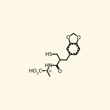 C[C@H](NC(=O)C(CS)Cc1ccc2c(c1)OCO2)C(=O)O